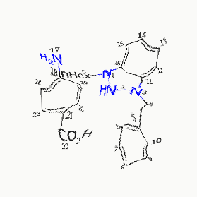 CCCCCCN1NN(Cc2ccccc2)c2ccccc21.Nc1ccc(C(=O)O)cc1